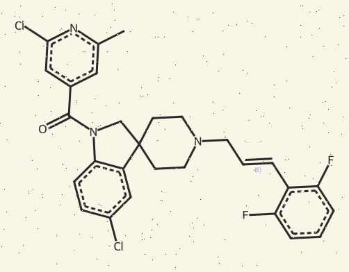 Cc1cc(C(=O)N2CC3(CCN(C/C=C/c4c(F)cccc4F)CC3)c3cc(Cl)ccc32)cc(Cl)n1